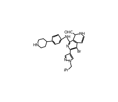 CC(C)Cn1cc(-c2nc(Nc3ccc(C4CCNCC4)cc3)c3c(c2Br)C=CNC3C=O)cn1